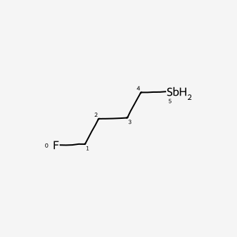 FCCC[CH2][SbH2]